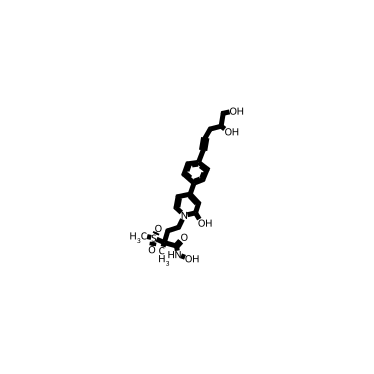 CC(CCN1C=CC(c2ccc(C#CCC(O)CO)cc2)=CC1O)(C(=O)NO)S(C)(=O)=O